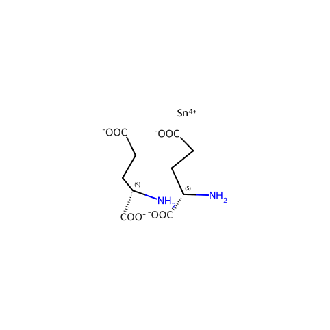 N[C@@H](CCC(=O)[O-])C(=O)[O-].N[C@@H](CCC(=O)[O-])C(=O)[O-].[Sn+4]